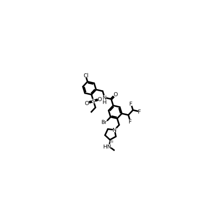 CCS(=O)(=O)c1ccc(Cl)cc1CNC(=O)c1cc(Br)c(CN2CC[C@H](NC)C2)c(C(F)C(F)F)c1